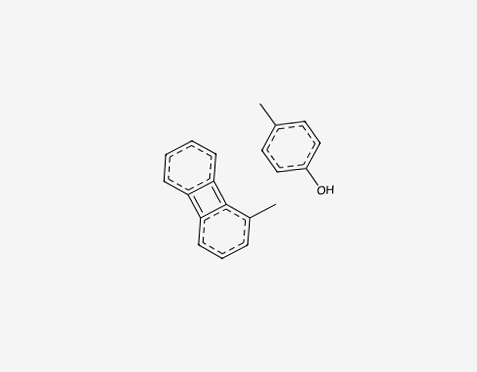 Cc1ccc(O)cc1.Cc1cccc2c1=c1ccccc1=2